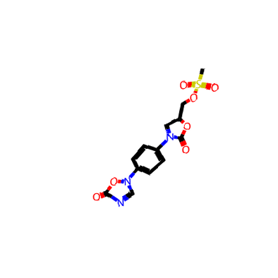 CS(=O)(=O)OCC1CN(c2ccc(-n3cnc(=O)o3)cc2)C(=O)O1